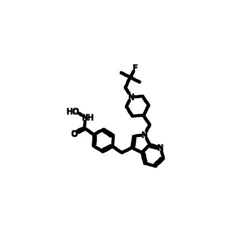 CC(C)(F)CN1CCC(Cn2cc(Cc3ccc(C(=O)NO)cc3)c3cccnc32)CC1